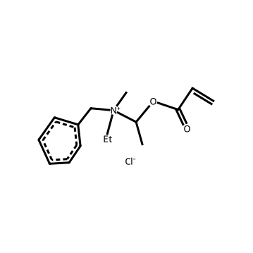 C=CC(=O)OC(C)[N+](C)(CC)Cc1ccccc1.[Cl-]